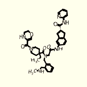 CCC1(C(=O)N(CC(=O)Nc2ccc3c(c2)C[C@H](C(=O)Nc2ccccn2)C3)Cc2ccccc2CNC)CCN(C(=O)C2=COCCN2)CC1